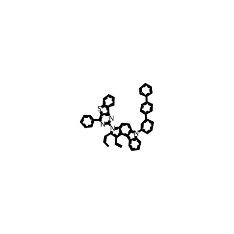 C=Cc1c(/C=C\C)n(-c2nc(-c3ccccc3)c3sc4ccccc4c3n2)c2ccc3c(c4ccccc4n3-c3cccc(-c4ccc(-c5ccccc5)cc4)c3)c12